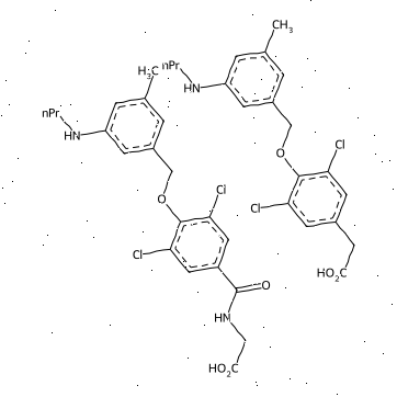 CCCNc1cc(C)cc(COc2c(Cl)cc(C(=O)NCC(=O)O)cc2Cl)c1.CCCNc1cc(C)cc(COc2c(Cl)cc(CC(=O)O)cc2Cl)c1